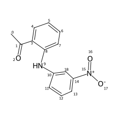 CC(=O)c1ccccc1Nc1cccc([N+](=O)[O-])c1